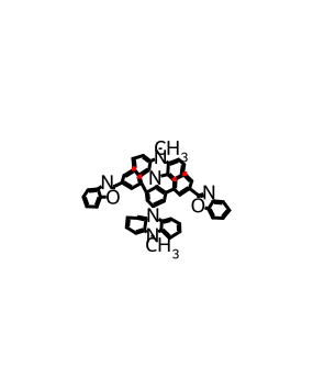 CN1c2ccccc2N(c2cc(-c3cccc(-c4nc5ccccc5o4)c3)c(N3c4ccccc4N(C)c4ccccc43)c(-c3cccc(-c4nc5ccccc5o4)c3)c2)c2ccccc21